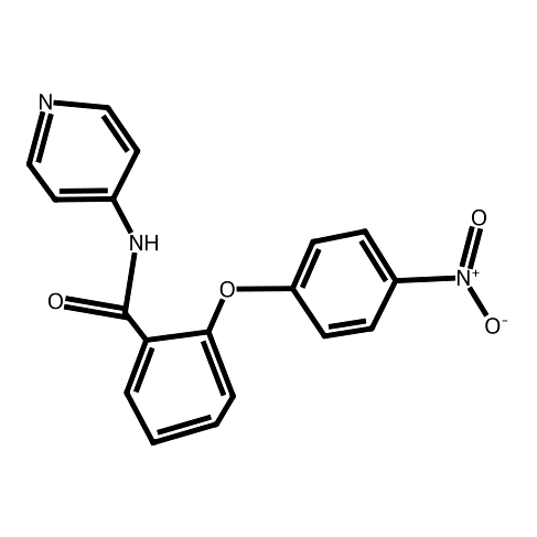 O=C(Nc1ccncc1)c1ccccc1Oc1ccc([N+](=O)[O-])cc1